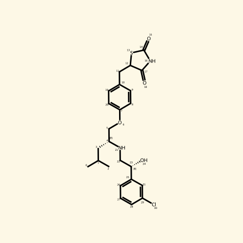 CC(C)C[C@H](COc1ccc(CC2SC(=O)NC2=O)cc1)NC[C@H](O)c1cccc(Cl)c1